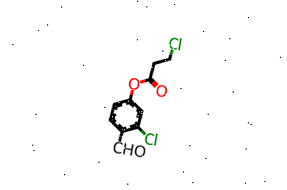 O=Cc1ccc(OC(=O)CCCl)cc1Cl